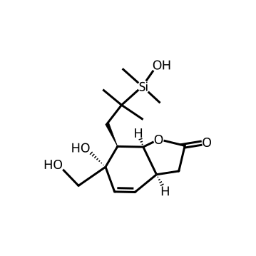 CC(C)(C[C@H]1[C@H]2OC(=O)C[C@H]2C=C[C@@]1(O)CO)[Si](C)(C)O